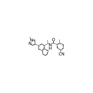 Cc1ccc(C#N)cc1C(=O)NC(C)c1cc(-c2cnn(C)c2)cc2ccccc12